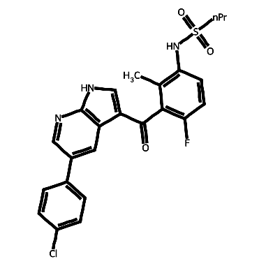 CCCS(=O)(=O)Nc1ccc(F)c(C(=O)c2c[nH]c3ncc(-c4ccc(Cl)cc4)cc23)c1C